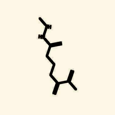 C=C(CCCC(=C)C(=C)C)NBC